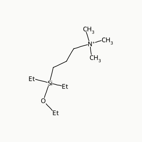 CCO[Si](CC)(CC)CCC[N+](C)(C)C